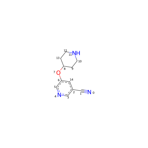 N#Cc1cncc(OC2CCNCC2)c1